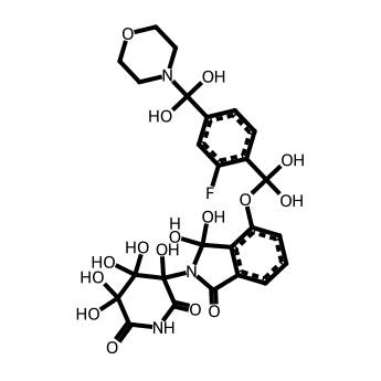 O=C1c2cccc(OC(O)(O)c3ccc(C(O)(O)N4CCOCC4)cc3F)c2C(O)(O)N1C1(O)C(=O)NC(=O)C(O)(O)C1(O)O